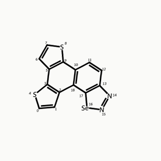 c1cc2c(s1)c1ccsc1c1ccc3nn[se]c3c21